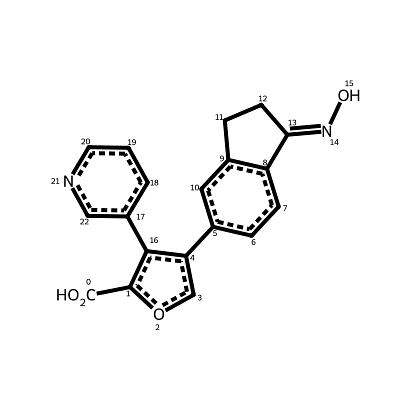 O=C(O)c1occ(-c2ccc3c(c2)CCC3=NO)c1-c1cccnc1